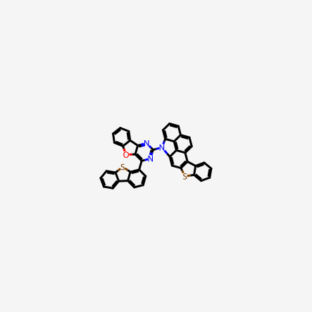 c1ccc2c(c1)oc1c(-c3cccc4c3sc3ccccc34)nc(-n3c4cccc5ccc6c7c(cc3c6c54)sc3ccccc37)nc12